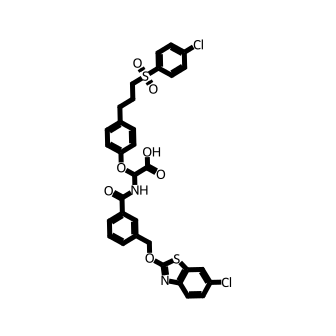 O=C(NC(Oc1ccc(CCCS(=O)(=O)c2ccc(Cl)cc2)cc1)C(=O)O)c1cccc(COc2nc3ccc(Cl)cc3s2)c1